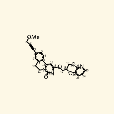 COCC#Cc1ccc2c(c1)CCn1c-2cc(OCC2COc3ncccc3O2)nc1=O